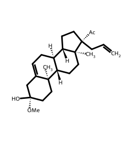 C=CC[C@]1(C(C)=O)CC[C@H]2[C@@H]3CC=C4C[C@@](O)(OC)CC[C@]4(C)[C@H]3CC[C@@]21C